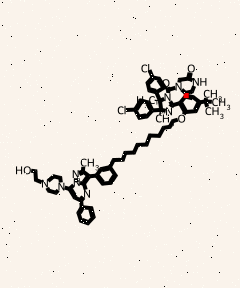 Cc1nn2c(N3CCN(CCO)CC3)cc(-c3ccccc3)nc2c1-c1cccc(CCCCCCCCCCCOc2cc(C(C)(C)C)ccc2C2=N[C@@](C)(c3ccc(Cl)cc3)[C@@](C)(c3ccc(Cl)cc3)N2C(=O)N2CCNC(=O)C2)c1